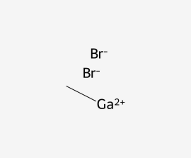 [Br-].[Br-].[CH3][Ga+2]